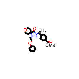 COC(=O)c1ccc([C@H](C)NC(=O)C2(NCCOc3ccccc3)CCOCC2)cc1